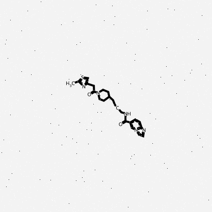 Cc1nc(CC(=O)N2CCC(CCCCNC(=O)c3ccc4nccn4c3)CC2)cs1